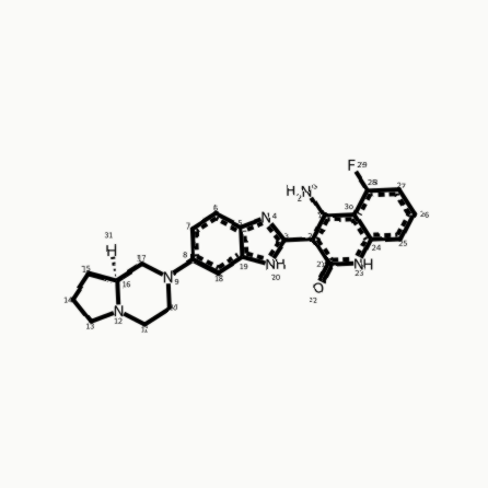 Nc1c(-c2nc3ccc(N4CCN5CCC[C@H]5C4)cc3[nH]2)c(=O)[nH]c2cccc(F)c12